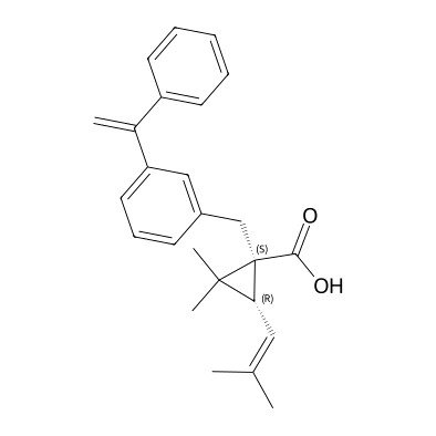 C=C(c1ccccc1)c1cccc(C[C@]2(C(=O)O)[C@H](C=C(C)C)C2(C)C)c1